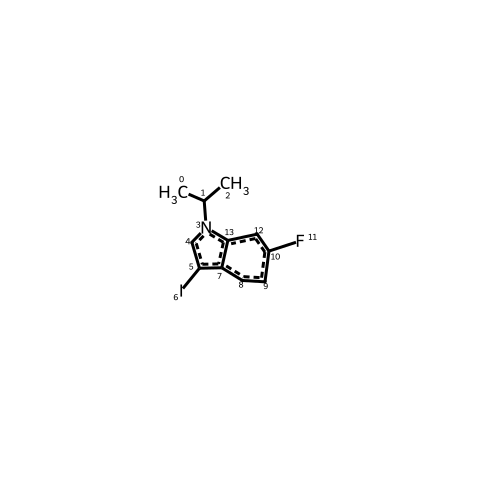 CC(C)n1cc(I)c2ccc(F)cc21